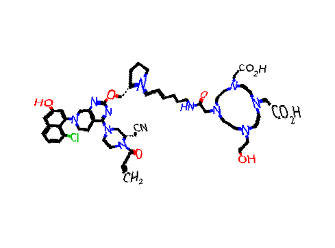 C=CC(=O)N1CCN(c2nc(OC[C@@H]3CCCN3CCCCCCNC(=O)CN3CCN(CCO)CCN(CC(=O)O)CCN(CC(=O)O)CC3)nc3c2CCN(c2cc(O)cc4cccc(Cl)c24)C3)C[C@@H]1CC#N